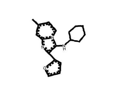 Cc1ccn2c(NC3CCCCC3)c(-c3ccco3)nc2c1